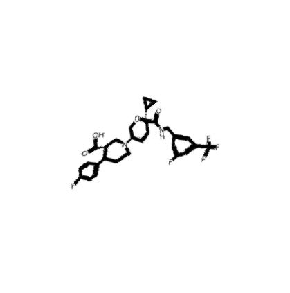 O=C(O)[C@H]1CN([C@@H]2CC[C@@](C(=O)NCc3cc(F)cc(C(F)(F)F)c3)(C3CC3)OC2)CCC1c1ccc(F)cc1